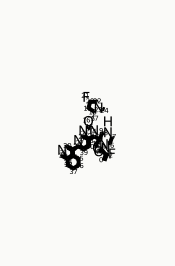 C=C(F)C(=O)N1CCNCC1(CC#N)c1nc(OC[C@@H]2C[C@@H](F)CN2C)nc2nc(-c3cncc4c3CCCC4)ccc12